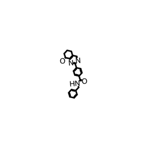 O=C(NCc1ccccc1)c1ccc(-c2ncc3c(n2)C(=O)CCC3)cc1